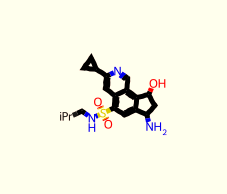 CC(C)CNS(=O)(=O)c1cc2c(c3cnc(C4CC4)cc13)C(O)CC2N